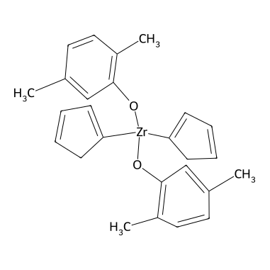 Cc1ccc(C)c([O][Zr]([O]c2cc(C)ccc2C)([C]2=CC=CC2)[C]2=CC=CC2)c1